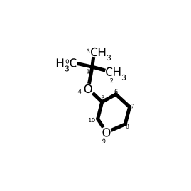 CC(C)(C)OC1CCCOC1